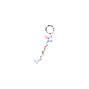 NCCOCCOCCNC(=O)OC1CCCCCCCC1